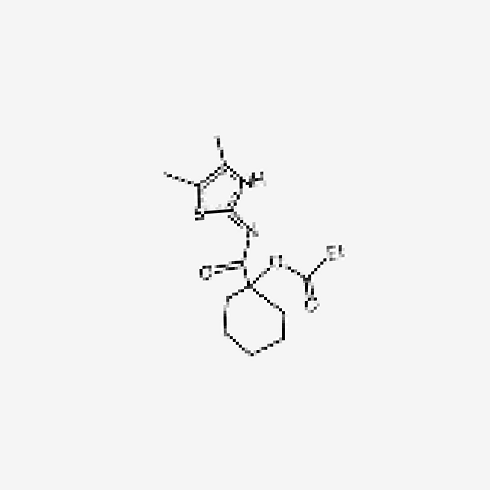 CCC(=O)OC1(C(=O)/N=c2/[nH]c(C)c(C)s2)CCCCC1